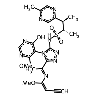 C#C/C=C(\N=C(/C)c1nnc(NS(=O)(=O)[C@@H](C)[C@H](C)c2cnc(C)cn2)n1-c1c(O)ncnc1OC)OC